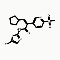 CS(=O)(=O)c1ccc(C(=CC2CCCC2)C(=O)Nc2ncc(Cl)s2)cn1